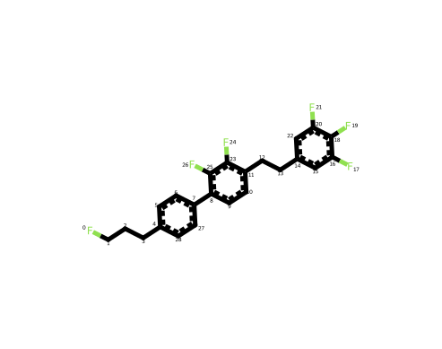 FCCCc1ccc(-c2ccc(CCc3cc(F)c(F)c(F)c3)c(F)c2F)cc1